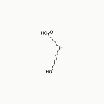 O=C(O)CCCCC/C=C\CCCCCCCCO